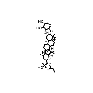 CCC(=O)O[C@@H]([C@H]1C[C@@H](C)[C@H]2[C@H](O1)C(=O)[C@@]1(C)[C@@H]3CC[C@H]4C(C)(C)[C@@H](O[C@@H]5OC[C@@H](O)[C@H](O)[C@H]5O)CC[C@]4(C)[C@]3(C)CC[C@]21C)C(C)(C)O